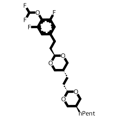 CCCCC[C@H]1CO[C@H](CC[C@H]2CO[C@H](CCc3cc(F)c(OC(F)F)c(F)c3)OC2)OC1